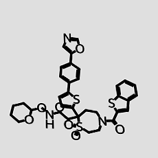 O=C(CC1(c2ccc(-c3ccc(-c4cnco4)cc3)s2)CCN(C(=O)c2cc3ccccc3s2)CCS1(=O)=O)NOC1CCCCO1